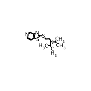 CC(C)N(CCSc1nc2cnccc2s1)C(C)C